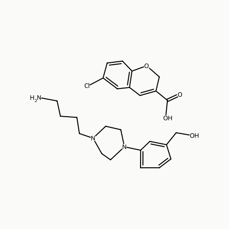 NCCCCN1CCN(c2cccc(CO)c2)CC1.O=C(O)C1=Cc2cc(Cl)ccc2OC1